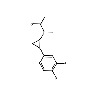 CC(=O)N(C)C1CC1c1ccc(F)c(F)c1